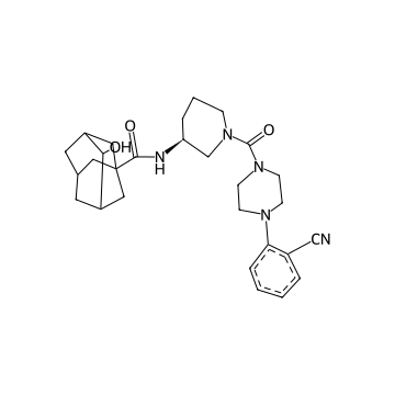 N#Cc1ccccc1N1CCN(C(=O)N2CCC[C@H](NC(=O)C34CC5CC(C3)C(O)C(C5)C4)C2)CC1